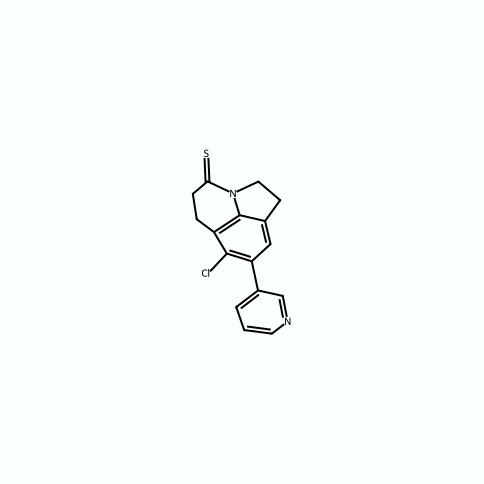 S=C1CCc2c(Cl)c(-c3cccnc3)cc3c2N1CC3